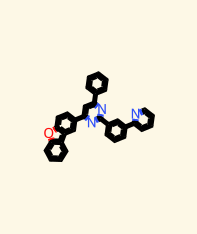 c1ccc(-c2cc(-c3ccc4oc5ccccc5c4c3)nc(-c3cccc(-c4ccccn4)c3)n2)cc1